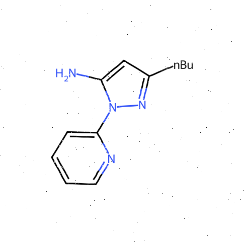 CCCCc1cc(N)n(-c2ccccn2)n1